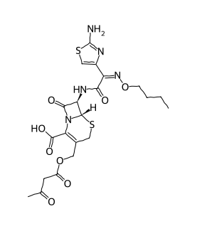 CCCCO/N=C(\C(=O)N[C@@H]1C(=O)N2C(C(=O)O)=C(COC(=O)CC(C)=O)CS[C@@H]12)c1csc(N)n1